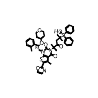 Cc1ccccc1[C@H](Cn1c(=O)n(C(C)(C)C(=O)CC(C)(C)[Si](O)(c2ccccc2)c2ccccc2)c(=O)c2c(C)c(-c3ncco3)sc21)OC1CCOCC1